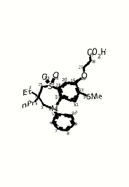 CCCC1(CC)CN(c2ccccc2)c2cc(SC)c(OCCC(=O)O)cc2S(=O)(=O)C1